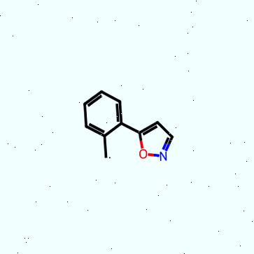 [CH2]c1ccccc1-c1ccno1